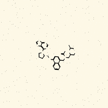 CC(=O)N(Cc1ccc(OC[C@H]2CCCN2c2ncnc3[nH]cnc23)c2ccccc12)CC(CO)OC(C)C